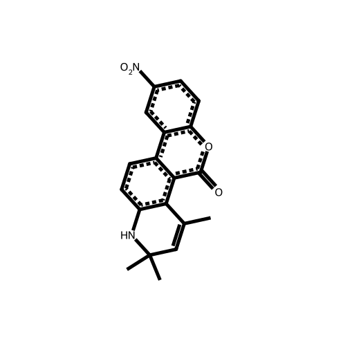 CC1=CC(C)(C)Nc2ccc3c(c21)c(=O)oc1ccc([N+](=O)[O-])cc13